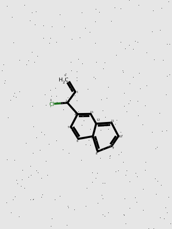 C=CC(Cl)c1ccc2ccccc2c1